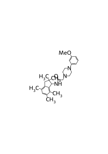 COc1cccc(N2CCN(CC(=O)NC3c4c(C)c(C)cc(C)c4CC3(C)C)CC2)c1